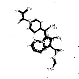 CCOC(=O)c1c(C)c(C(C)C2CCN(C(=O)C(F)F)CC2)n2ncccc12